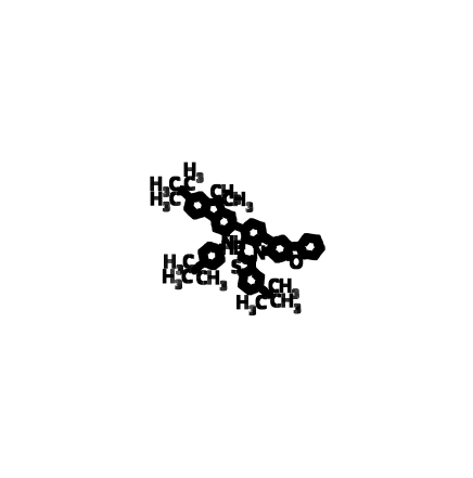 CC(C)(C)c1ccc(Nc2cc3c(cc2-c2ccc4c5cc6c(cc5n5c4c2Bc2sc4ccc(C(C)(C)C)cc4c2-5)oc2ccccc26)C(C)(C)c2cc(C(C)(C)C)ccc2-3)cc1